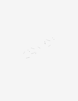 Cc1ccn2c(C)c(C=Cc3ccc([N+](=O)[O-])cc3)nc2c1